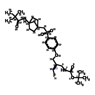 CC(C)(C)OC(=O)NC/C(=C\F)COc1ccc(S(=O)(=O)CC23CCC(NC(=O)C(C)(C)C)(CC2)C3)cc1